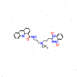 CN(CCCNC(=O)c1cccc2cc3ccccc3nc12)CCCc1n[n+]([O-])c2ccccc2[n+]1[O-]